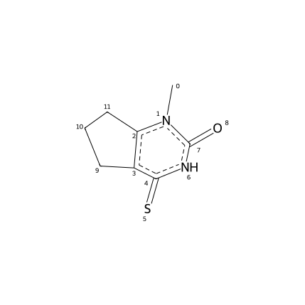 Cn1c2c(c(=S)[nH]c1=O)CCC2